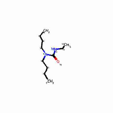 CCCCN(CCCC)C(=O)NCC